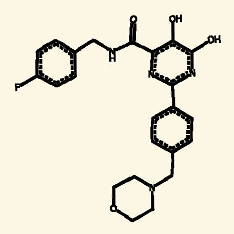 O=C(NCc1ccc(F)cc1)c1nc(-c2ccc(CN3CCOCC3)cc2)nc(O)c1O